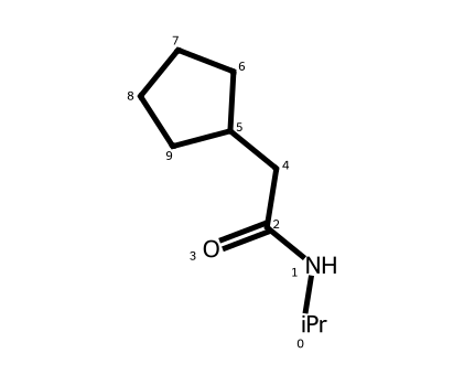 CC(C)NC(=O)CC1CCCC1